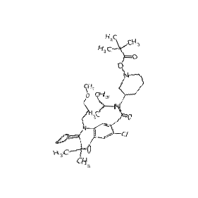 COCCCN1C(=O)C(C)(C)Oc2cc(Cl)c(C(=O)N(C(C)C)C3CCCN(OC(=O)C(C)(C)C)C3)cc21